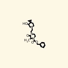 CC1C(=O)N(CCN2CCC3(CC3)C(O)C2)CCN1C(=O)OCc1ccccc1